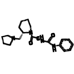 O=C(NCC(=O)N1CCCC[C@H]1CN1CCCC1)Nc1ccccc1